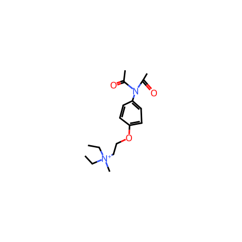 CC[N+](C)(CC)CCOc1ccc(N(C(C)=O)C(C)=O)cc1